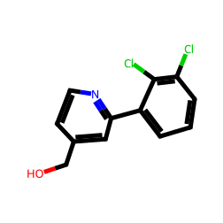 OCc1ccnc(-c2cccc(Cl)c2Cl)c1